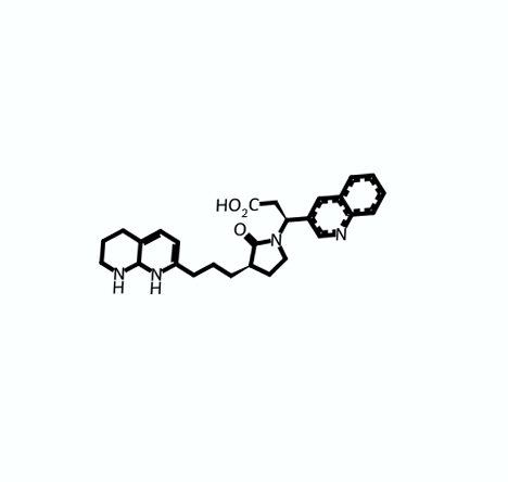 O=C(O)C[C@@H](c1cnc2ccccc2c1)N1CC[C@@H](CCCC2=CC=C3CCCNC3N2)C1=O